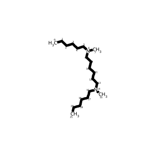 CCCCCCN(C)CCCCCCN(C)CCCCCC